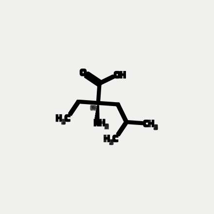 CC[C@](N)(CC(C)C)C(=O)O